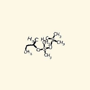 CCC(C)O[Si](C)(C)O[Si](C)(C)C